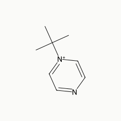 CC(C)(C)[n+]1ccncc1